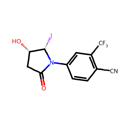 N#Cc1ccc(N2C(=O)C[C@H](O)[C@@H]2I)cc1C(F)(F)F